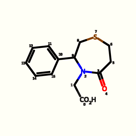 O=C(O)CN1C(=O)CCSCC1c1ccccc1